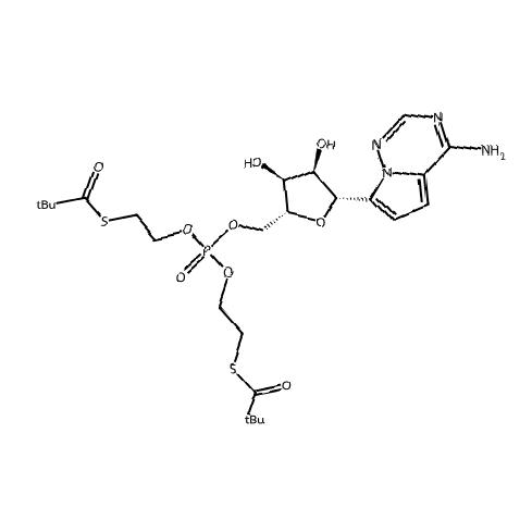 CC(C)(C)C(=O)SCCOP(=O)(OCCSC(=O)C(C)(C)C)OC[C@H]1O[C@@H](c2ccc3c(N)ncnn23)[C@H](O)[C@@H]1O